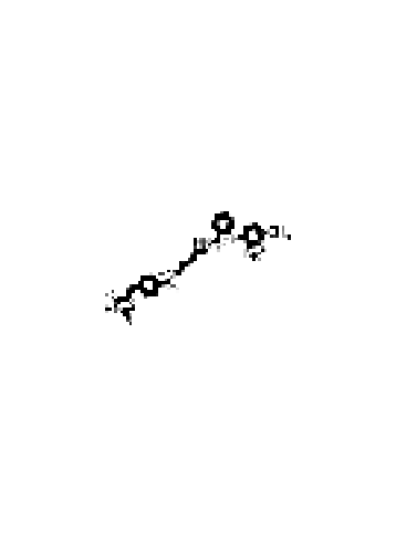 Cc1ccc(Nc2ccccc2C(=O)NCCCCCNC(=O)c2ccc(/C=C3\SC(=S)NC3=O)cc2)c2nonc12